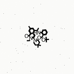 CCn1c(N2CCC(C)(C)CC2)cc2c(C(C)Nc3ccccc3C(=O)OC(C)(C)C)cc(C)cc2c1=O